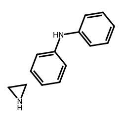 C1CN1.c1ccc(Nc2ccccc2)cc1